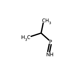 CC(C)P=N